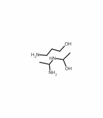 CC(N)NC(C)O.NCCCO